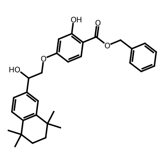 CC1(C)CCC(C)(C)c2cc(C(O)COc3ccc(C(=O)OCc4ccccc4)c(O)c3)ccc21